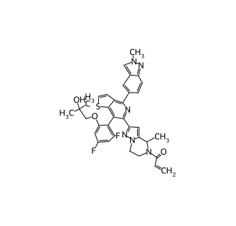 C=CC(=O)N1CCn2nc(-c3nc(-c4ccc5nn(C)cc5c4)c4ccsc4c3-c3c(F)cc(F)cc3OCC(C)(C)O)cc2C1C